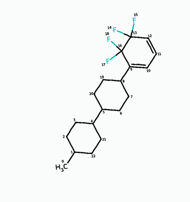 CC1CCC(C2CCC(C3=CC=CC(F)(F)C3(F)F)CC2)CC1